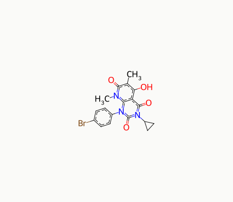 Cc1c(O)c2c(=O)n(C3CC3)c(=O)n(-c3ccc(Br)cc3)c2n(C)c1=O